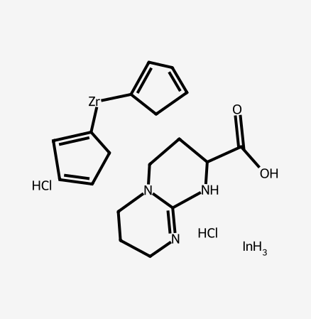 C1=CC[C]([Zr][C]2=CC=CC2)=C1.Cl.Cl.O=C(O)C1CCN2CCCN=C2N1.[InH3]